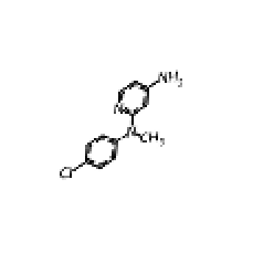 CN(c1ccc(Cl)cc1)c1cc(N)ccn1